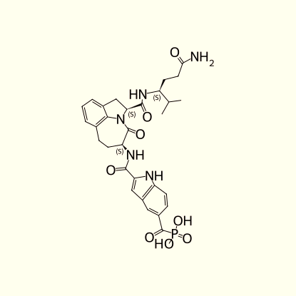 CC(C)[C@H](CCC(N)=O)NC(=O)[C@@H]1Cc2cccc3c2N1C(=O)[C@@H](NC(=O)c1cc2cc(C(=O)P(=O)(O)O)ccc2[nH]1)CC3